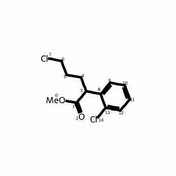 COC(=O)C(CCCCl)c1ccccc1Cl